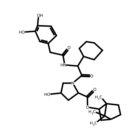 CC1(C)C2CCC1(C)C(OC(=O)C1CC(O)CN1C(=O)C(NC(=O)Cc1ccc(O)c(O)c1)C1CCCCC1)C2